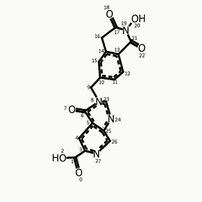 O=C(O)c1cc2c(=O)n(Cc3ccc4c(c3)CC(=O)N(O)C4=O)cnc2cn1